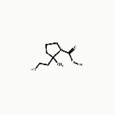 CC(C)(C)OC(=O)N1CCCC1(C)CCO